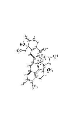 CC[C@@]1(O)C(=O)OCc2c1cc1n(c2=O)Cc2c-1nc1cc(F)c(C)c3c1c2[C@@](C)(N(CCO)C(C)=O)CC3